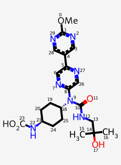 COc1ncc(-c2cnc(N(C(=O)NCC(C)(C)O)[C@H]3CC[C@H](NC(=O)O)CC3)cn2)cn1